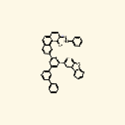 N=C1/C(=N\Nc2ccccc2)C=Cc2ccc3ccc(-c4nc(-c5cccc(-c6ccccc6)c5)cc(-c5ccc6oc7ccccc7c6c5)n4)cc3c21